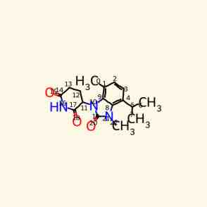 Cc1ccc(C(C)C)c2c1n(C1CCC(=O)NC1=O)c(=O)n2C